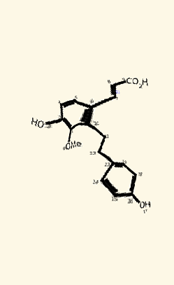 COc1c(O)ccc(/C=C/C(=O)O)c1CCc1ccc(O)cc1